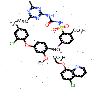 CCOc1cc(Oc2ccc(C(F)(F)F)cc2Cl)ccc1[N+](=O)[O-].COc1nc(C)nc(NC(=O)NS(=O)(=O)c2cc(I)ccc2C(=O)O)n1.O=C(O)COc1ccc(Cl)c2cccnc12